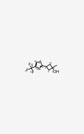 CC1(O)CC(c2nc(C(F)(F)F)cs2)C1